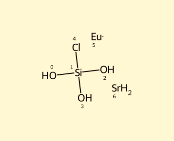 O[Si](O)(O)Cl.[Eu].[SrH2]